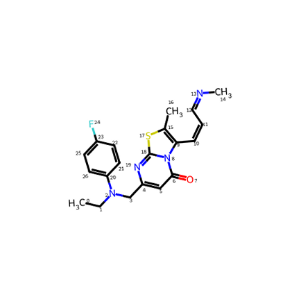 CCN(Cc1cc(=O)n2c(/C=C\C=N/C)c(C)sc2n1)c1ccc(F)cc1